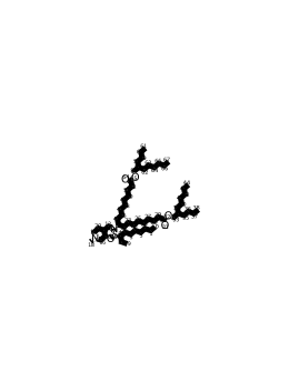 CCCCCCCC(CC)[S+]([O-])N(CC1CCN(C)CC1)C(CCCCCCCCC(=O)OCC(CCCC)CCCCCC)CCCCCCCCC(=O)OCC(CCCC)CCCCCC